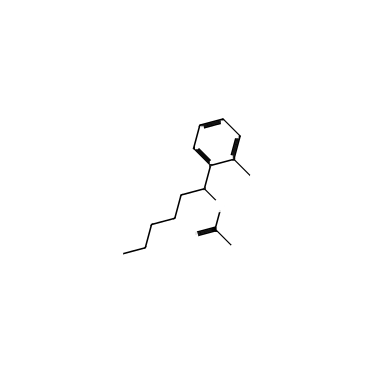 CCCCCC(OC(C)=O)c1ccccc1C